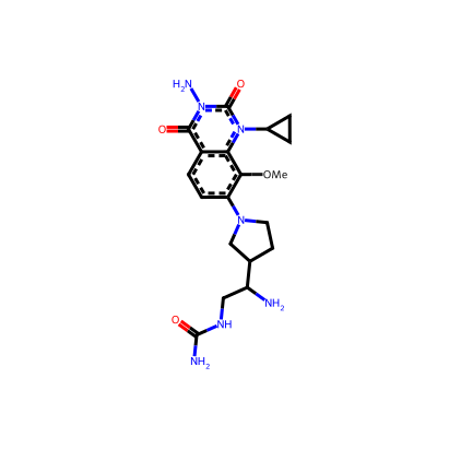 COc1c(N2CCC(C(N)CNC(N)=O)C2)ccc2c(=O)n(N)c(=O)n(C3CC3)c12